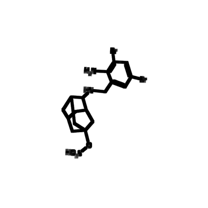 Nc1c(Br)cc(Br)cc1CNC1C2CC3CC1CC(OS(=O)(=O)O)(C3)C2